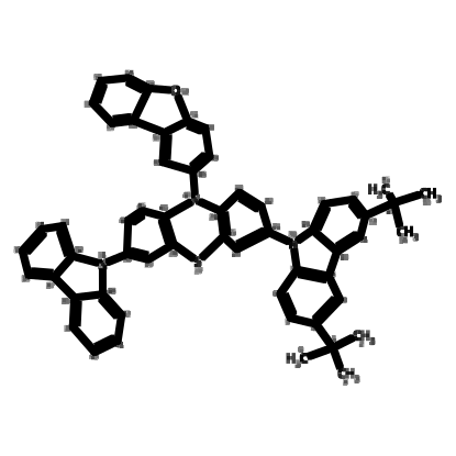 CC(C)(C)c1ccc2c(c1)c1cc(C(C)(C)C)ccc1n2-c1ccc2c(c1)Sc1cc(-n3c4ccccc4c4ccccc43)ccc1N2c1ccc2oc3ccccc3c2c1